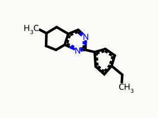 CCc1ccc(-c2ncc3c(n2)CCC(C)C3)cc1